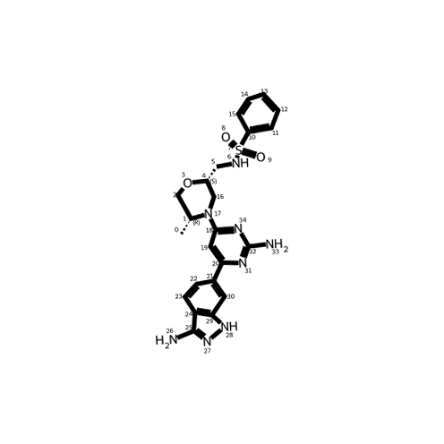 C[C@@H]1CO[C@H](CNS(=O)(=O)c2ccccc2)CN1c1cc(-c2ccc3c(N)n[nH]c3c2)nc(N)n1